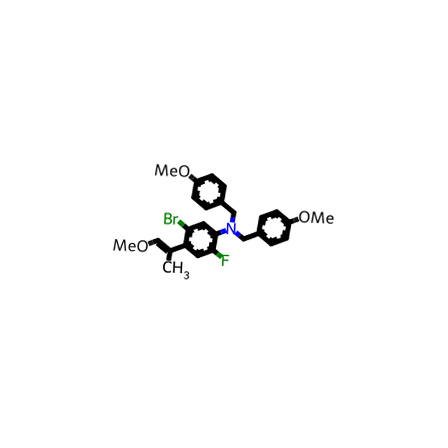 COC=C(C)c1cc(F)c(N(Cc2ccc(OC)cc2)Cc2ccc(OC)cc2)cc1Br